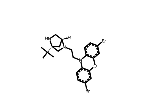 CC(C)(C)[C@@]12C[C@H](CN1)N(CCN1c3ccc(Br)cc3Oc3cc(Br)ccc31)C2